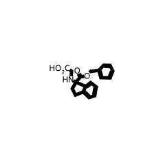 O=C(O)CNC1(C(=O)OCc2ccccc2)CCc2ccccc21